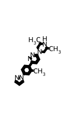 Cc1cc(-n2cccn2)ccc1-c1ccc(N2CC(C)NC(C)C2)nn1